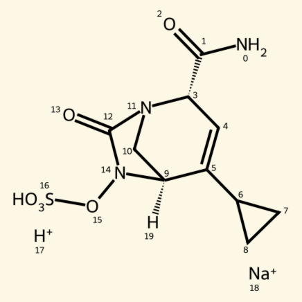 NC(=O)[C@@H]1C=C(C2CC2)[C@@H]2CN1C(=O)N2OS(=O)(=O)O.[H+].[Na+]